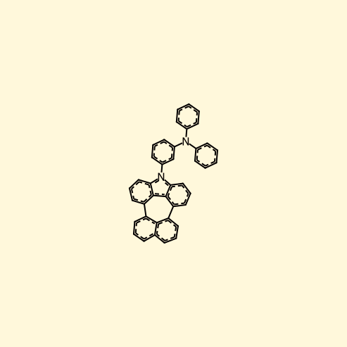 c1ccc(N(c2ccccc2)c2cccc(-n3c4cccc5c4c4c(cccc43)-c3cccc4cccc-5c34)c2)cc1